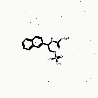 CCCCCCCC(=O)NC(COP(=O)(O)O)c1ccc2ccccc2c1